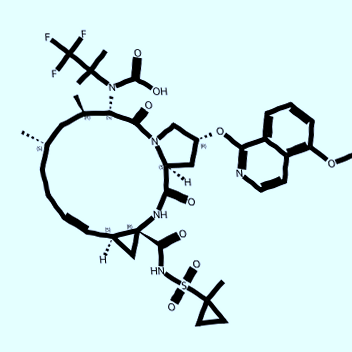 COc1cccc2c(O[C@@H]3C[C@H]4C(=O)N[C@]5(C(=O)NS(=O)(=O)C6(C)CC6)C[C@H]5C=CCC[C@H](C)C[C@@H](C)[C@H](N(C(=O)O)C(C)(C)C(F)(F)F)C(=O)N4C3)nccc12